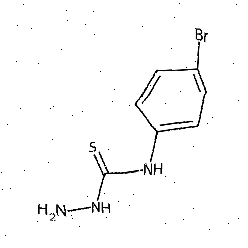 NNC(=S)Nc1ccc(Br)cc1